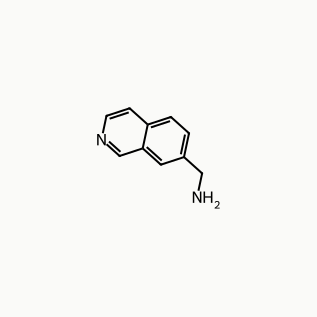 NCc1ccc2ccncc2c1